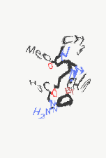 COC(=O)c1cc(C)nc(-c2cnn(C)c2CCCO[C@@H](C)Cn2c(N)nc3ccc(Br)cc32)c1